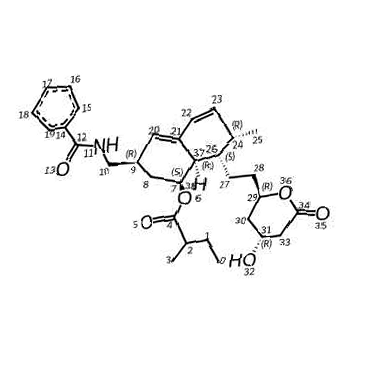 CCC(C)C(=O)O[C@H]1C[C@@H](CNC(=O)c2ccccc2)C=C2C=C[C@H](C)[C@H](CC[C@@H]3C[C@@H](O)CC(=O)O3)[C@H]21